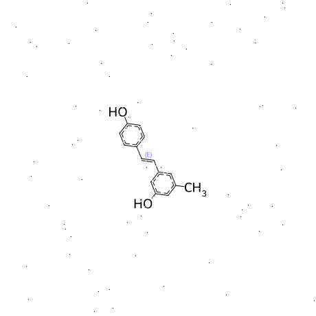 Cc1cc(O)cc(/C=C/c2ccc(O)cc2)c1